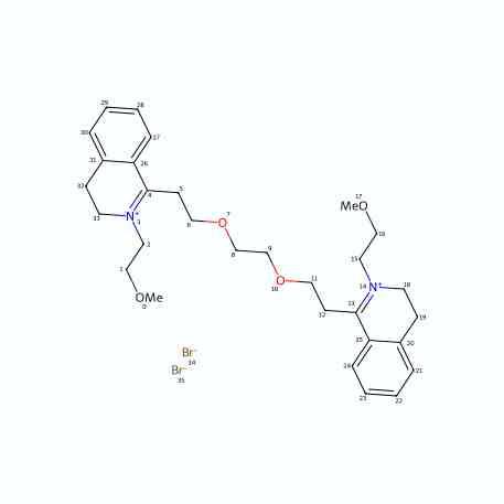 COCC[N+]1=C(CCOCCOCCC2=[N+](CCOC)CCc3ccccc32)c2ccccc2CC1.[Br-].[Br-]